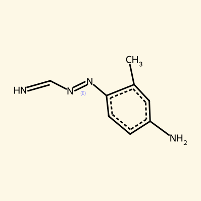 Cc1cc(N)ccc1/N=N/C=N